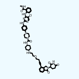 CNC(=O)c1ccccc1Nc1nc(Nc2ccc(N3CCN(C(=O)N[C@H]4CC[C@@H](NCCOCCC#Cc5cccc6c5CN(C5CCC(=O)NC5=O)C6=O)CC4)CC3)cc2)ncc1Cl